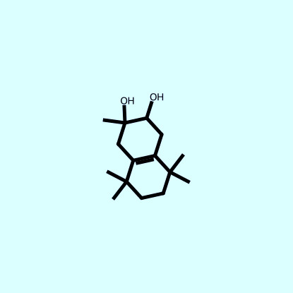 CC1(C)CCC(C)(C)C2=C1CC(O)C(C)(O)C2